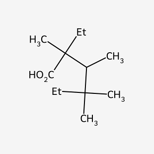 CCC(C)(C)C(C)C(C)(CC)C(=O)O